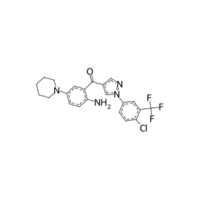 Nc1ccc(N2CCCCC2)cc1C(=O)c1cnn(-c2ccc(Cl)c(C(F)(F)F)c2)c1